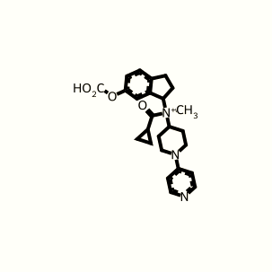 C[N+](C(=O)C1CC1)(C1CCN(c2ccncc2)CC1)C1CCc2ccc(OC(=O)O)cc21